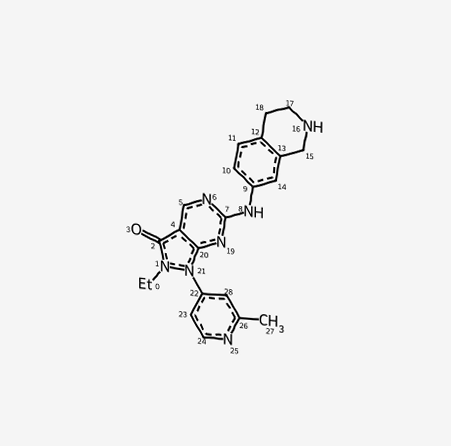 CCn1c(=O)c2cnc(Nc3ccc4c(c3)CNCC4)nc2n1-c1ccnc(C)c1